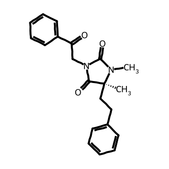 CN1C(=O)N(CC(=O)c2ccccc2)C(=O)[C@]1(C)CCc1ccccc1